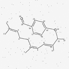 CC(C)=CCCC(C)=CC=C(C)C(C)Oc1ccc(C=O)cc1